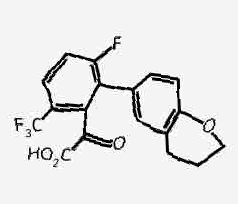 O=C(O)C(=O)c1c(C(F)(F)F)ccc(F)c1-c1ccc2c(c1)CCCO2